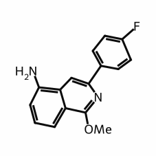 COc1nc(-c2ccc(F)cc2)cc2c(N)cccc12